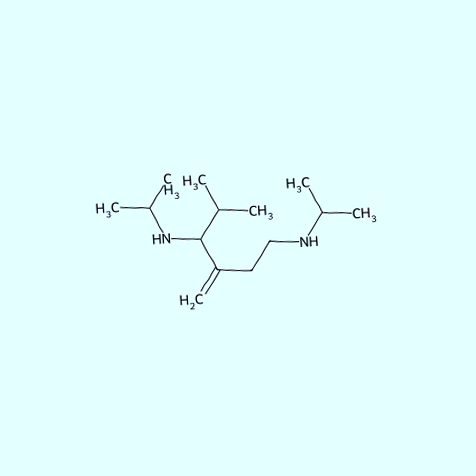 C=C(CCNC(C)C)C(NC(C)C)C(C)C